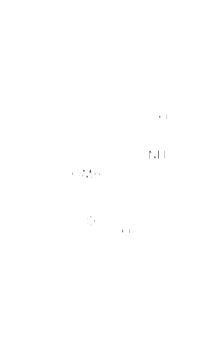 COc1ccccc1C1CC(=O)NC2=CC3OCOC3C=C21